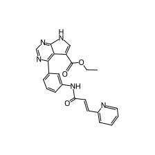 CCOC(=O)c1c[nH]c2ncnc(-c3cccc(NC(=O)C=Cc4ccccn4)c3)c12